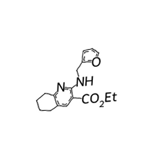 CCOC(=O)c1cc2c(nc1NCc1ccco1)CCCC2